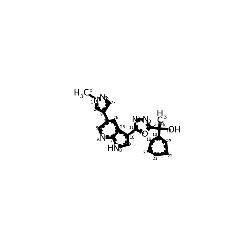 Cn1cc(-c2cnc3[nH]cc(-c4nnc(C(C)(O)c5ccccc5)o4)c3c2)cn1